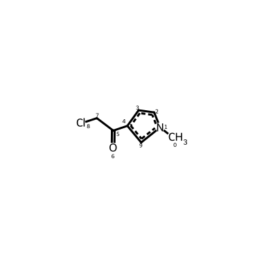 Cn1ccc(C(=O)CCl)c1